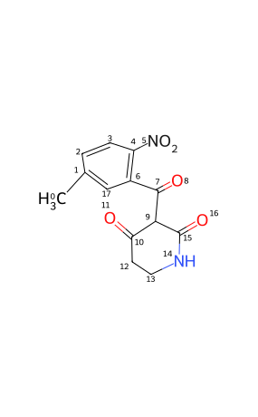 Cc1ccc([N+](=O)[O-])c(C(=O)C2C(=O)CCNC2=O)c1